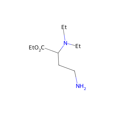 CCOC(=O)C(CCN)N(CC)CC